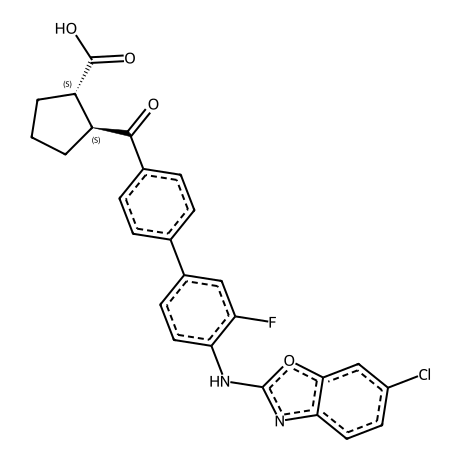 O=C(O)[C@H]1CCC[C@@H]1C(=O)c1ccc(-c2ccc(Nc3nc4ccc(Cl)cc4o3)c(F)c2)cc1